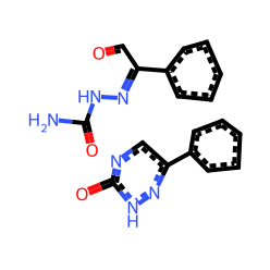 NC(=O)NN=C(C=O)c1ccccc1.O=c1ncc(-c2ccccc2)n[nH]1